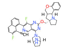 C#Cc1c(F)ccc2cccc(-c3ncc4c(N5C[C@H]6CC[C@@H](C5)N6)nc(OC[C@@]56CCCN5[C@@H]5c7ccccc7OC[C@@H]5C6)nc4c3F)c12